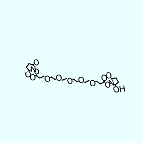 O=C(CCOCCOCCOCCOCCOCCC(=O)ON1C(=O)CCC1O)ON1C(=O)CCC1=O